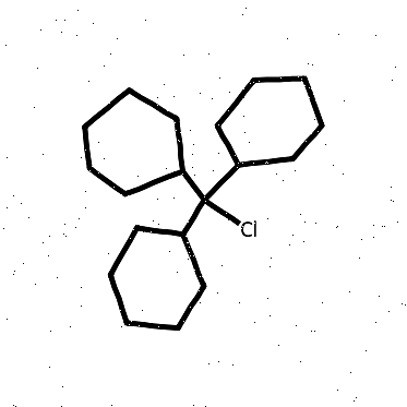 ClC(C1CCCCC1)(C1CCCCC1)C1CCCCC1